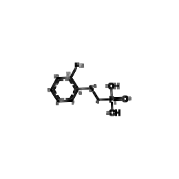 O=P(O)(O)CSc1ccccc1F